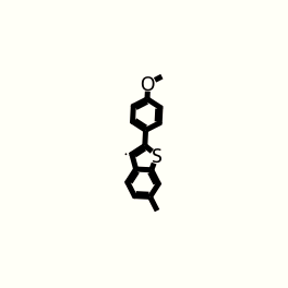 COc1ccc(-c2[c]c3ccc(C)cc3s2)cc1